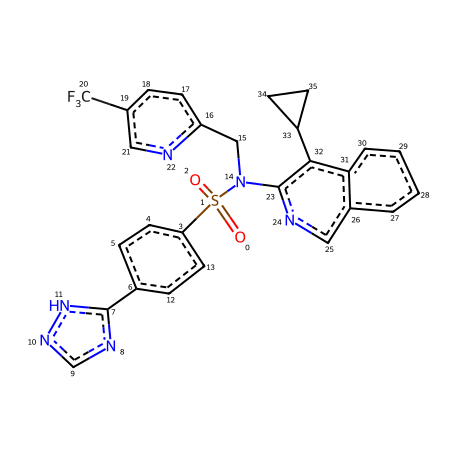 O=S(=O)(c1ccc(-c2ncn[nH]2)cc1)N(Cc1ccc(C(F)(F)F)cn1)c1ncc2ccccc2c1C1CC1